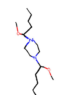 CCCCC(OC)N1CCN(C(CCCC)OC)CC1